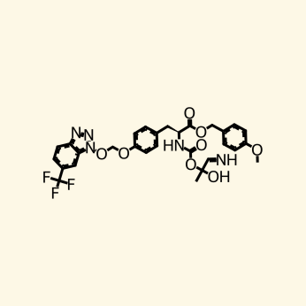 COc1ccc(COC(=O)[C@H](Cc2ccc(OCOn3nnc4ccc(C(F)(F)F)cc43)cc2)NC(=O)OC(C)(O)C=N)cc1